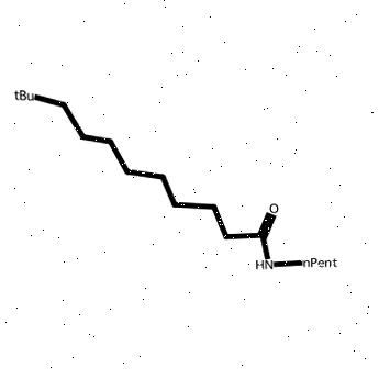 CCCCCNC(=O)CCCCCCCCC(C)(C)C